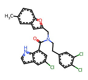 Cc1ccc2oc(CN(CCc3ccc(Cl)c(Cl)c3)C(=O)c3cc(Cl)cc4cc[nH]c34)cc2c1